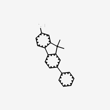 CC1(C)c2cc(N)ccc2-c2ccc(-c3ccccc3)cc21